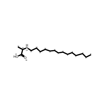 CCCCCCCCCCCCCCNC(C)C(=O)O